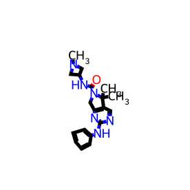 CN1CC(NC(=O)N2Cc3nc(Nc4ccccc4)ncc3C2(C)C)C1